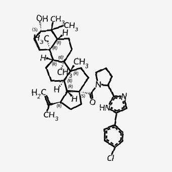 C=C(C)[C@@H]1CC[C@]2(C(=O)N3CCCC3c3ncc(-c4ccc(Cl)cc4)[nH]3)CC[C@]3(C)[C@H](CC[C@@H]4[C@@]5(C)CC[C@H](O)C(C)(C)[C@@H]5CC[C@]43C)[C@@H]12